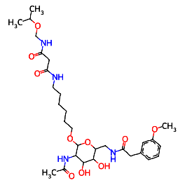 COc1cccc(CC(=O)NCC2OC(OCCCCCCNC(=O)CC(=O)NCOC(C)C)C(NC(C)=O)C(O)C2O)c1